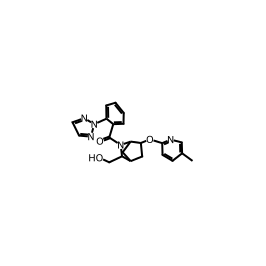 Cc1ccc(OC2CC3CC2N(C(=O)c2ccccc2-n2nccn2)C3CO)nc1